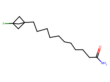 NC(=O)CCCCCCCCCCC12CC(F)(C1)C2